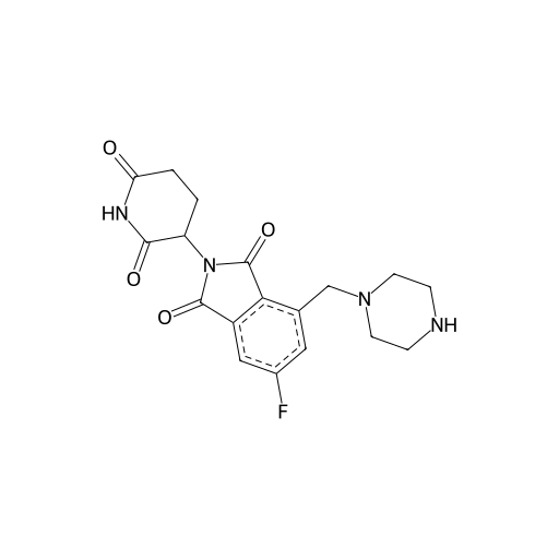 O=C1CCC(N2C(=O)c3cc(F)cc(CN4CCNCC4)c3C2=O)C(=O)N1